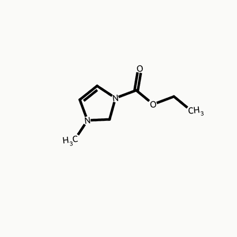 CCOC(=O)N1C=CN(C)C1